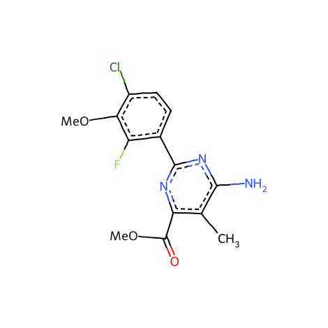 COC(=O)c1nc(-c2ccc(Cl)c(OC)c2F)nc(N)c1C